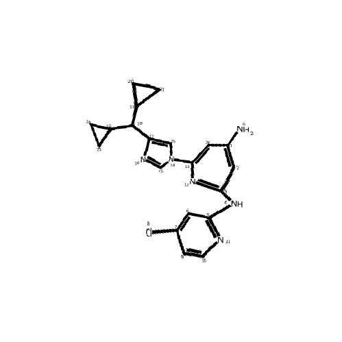 Nc1cc(Nc2cc(Cl)ccn2)nc(-n2cnc(C(C3CC3)C3CC3)c2)c1